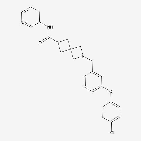 O=C(Nc1cccnc1)N1CC2(CN(Cc3cccc(Oc4ccc(Cl)cc4)c3)C2)C1